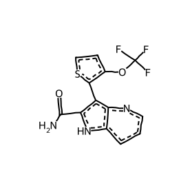 NC(=O)c1[nH]c2cccnc2c1-c1sccc1OC(F)(F)F